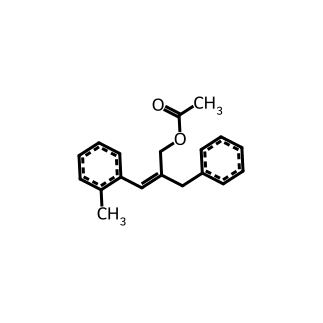 CC(=O)OCC(=Cc1ccccc1C)Cc1ccccc1